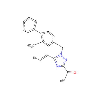 CC/C=C/c1nc(C(=O)CCC)nn1Cc1ccc(-c2ccccc2)c(C(=O)O)c1